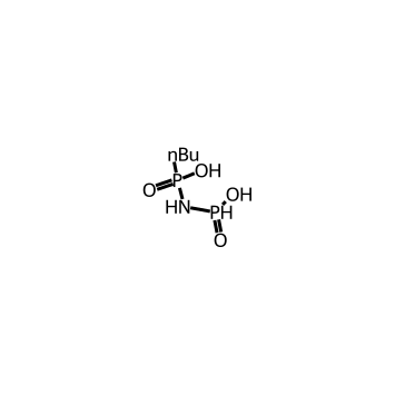 CCCCP(=O)(O)N[PH](=O)O